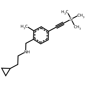 Cc1cc(C#C[Si](C)(C)C)ccc1CNCCC1CC1